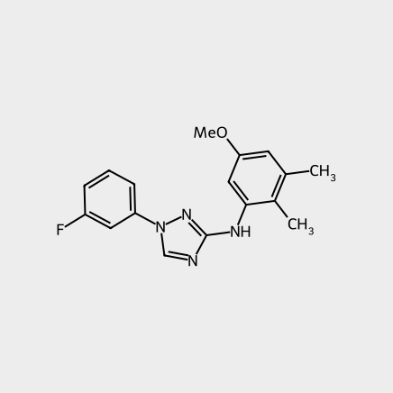 COc1cc(C)c(C)c(Nc2ncn(-c3cccc(F)c3)n2)c1